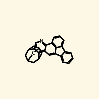 c1ccc2c(c1)-c1cccc3c1c-2cc1c2c(cnc13)C1CC3CC(C1)CC2C3